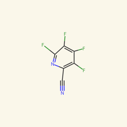 N#Cc1nc(F)c(F)c(F)c1F